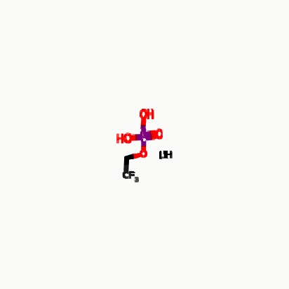 O=P(O)(O)OCC(F)(F)F.[LiH]